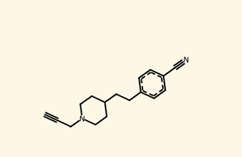 C#CCN1CCC(CCc2ccc(C#N)cc2)CC1